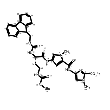 CCOC(=O)c1nc(NC(=O)c2cc(NC(=O)[C@H](CCNC(=O)OC(C)(C)C)NC(=O)OCC3c4ccccc4-c4ccccc43)cn2C)cn1C